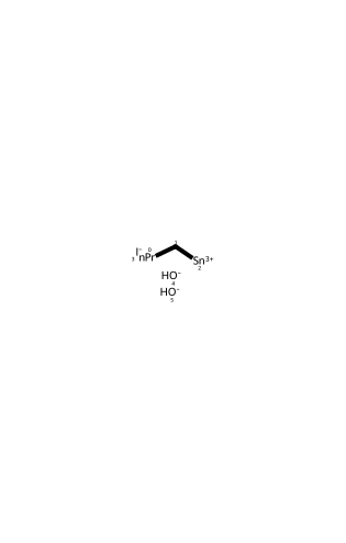 CCC[CH2][Sn+3].[I-].[OH-].[OH-]